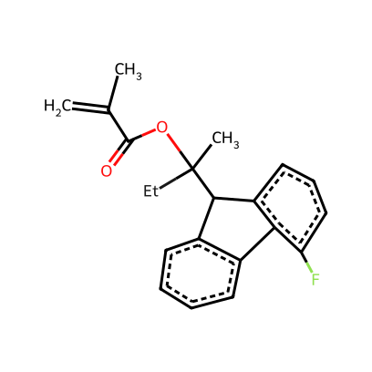 C=C(C)C(=O)OC(C)(CC)C1c2ccccc2-c2c(F)cccc21